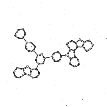 c1ccc(-c2ccc(-c3cc(-c4cccc5c4oc4ccccc45)cc(-c4ccc(-n5c6ccccc6c6c7c(ccc65)sc5ccccc57)cc4)n3)cc2)cc1